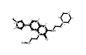 CCOCCn1c(=O)c(NCCN2CCOCC2)nc2ncc(-c3cnn(C)c3)cc21